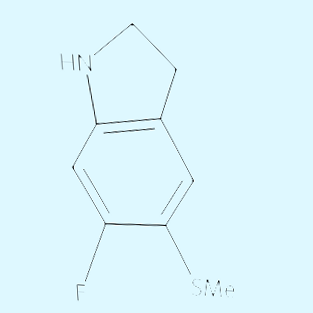 CSc1cc2c(cc1F)NCC2